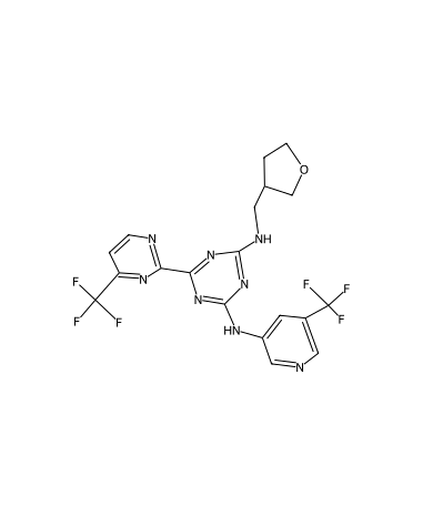 FC(F)(F)c1cncc(Nc2nc(NCC3CCOC3)nc(-c3nccc(C(F)(F)F)n3)n2)c1